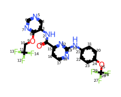 O=C(Nc1cncnc1OCC(F)(F)F)c1ccnc(Nc2ccc(OC(F)(F)F)cc2)n1